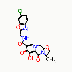 C[C@H]1COC2Cn3cc(C(=O)NCc4nc5ccc(Cl)cc5o4)c(=O)c(O)c3C(=O)N21